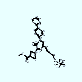 COC(=O)C1CN(c2nc(C=CCO[Si](C)(C)C(C)(C)C)cn(-c3ccc(-c4ncccn4)cc3)c2=O)C1